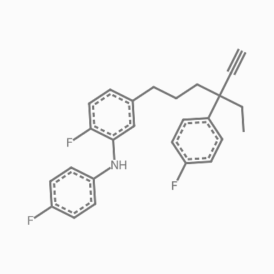 C#CC(CC)(CCCc1ccc(F)c(Nc2ccc(F)cc2)c1)c1ccc(F)cc1